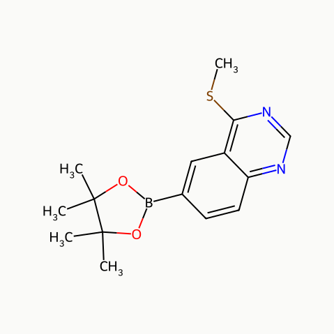 CSc1ncnc2ccc(B3OC(C)(C)C(C)(C)O3)cc12